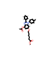 COC(=O)CCCCCOc1cc(OC(C)=O)c2nc(-c3ccccc3)n(-c3ccc(C)cc3)c2c1